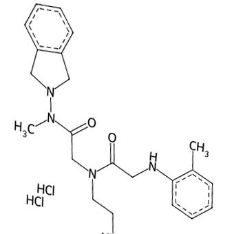 Cc1ccccc1NCC(=O)N(CCNC(C)C)CC(=O)N(C)N1Cc2ccccc2C1.Cl.Cl